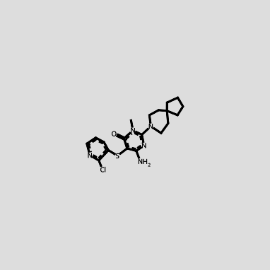 Cn1c(N2CCC3(CCCC3)CC2)nc(N)c(Sc2cccnc2Cl)c1=O